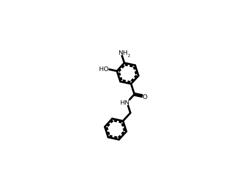 Nc1ccc(C(=O)NCc2ccccc2)cc1O